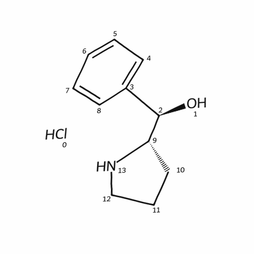 Cl.O[C@H](c1ccccc1)[C@@H]1CCCN1